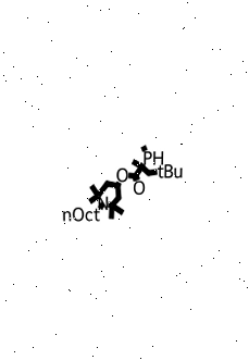 CCCCCCCCN1C(C)(C)CC(OC(=O)C(C)(CC(C)(C)C)PC)CC1(C)C